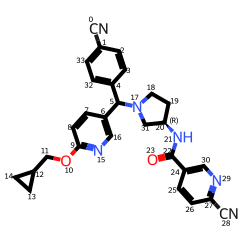 N#Cc1ccc(C(c2ccc(OCC3CC3)nc2)N2CC[C@@H](NC(=O)c3ccc(C#N)nc3)C2)cc1